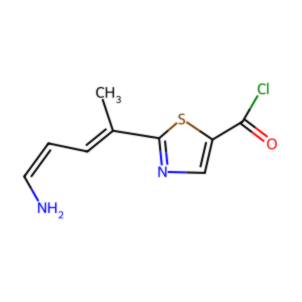 C/C(=C\C=C/N)c1ncc(C(=O)Cl)s1